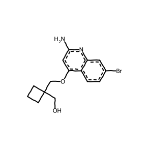 Nc1cc(OCC2(CO)CCC2)c2ccc(Br)cc2n1